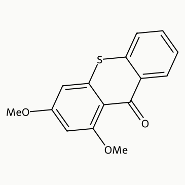 COc1cc(OC)c2c(=O)c3ccccc3sc2c1